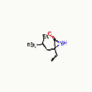 C=CC1(CC(CC)CCCC)NC1=O